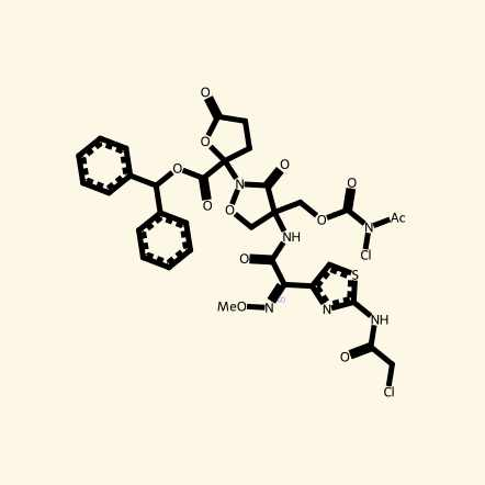 CO/N=C(\C(=O)NC1(COC(=O)N(Cl)C(C)=O)CON(C2(C(=O)OC(c3ccccc3)c3ccccc3)CCC(=O)O2)C1=O)c1csc(NC(=O)CCl)n1